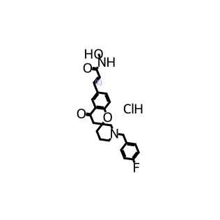 Cl.O=C(/C=C/c1ccc2c(c1)C(=O)CC1(CCCN(Cc3ccc(F)cc3)C1)O2)NO